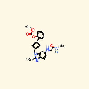 CCCCNC(=O)CNc1ccc2nc(CCCC)n(Cc3ccc(-c4ccccc4OC(=O)OC(C)(C)C)cc3)c2c1